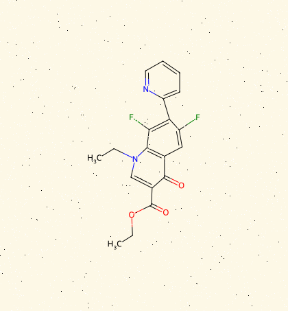 CCOC(=O)c1cn(CC)c2c(F)c(-c3ccccn3)c(F)cc2c1=O